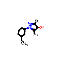 CCCc1c(O)c(CC)nn1-c1cccc(C)c1